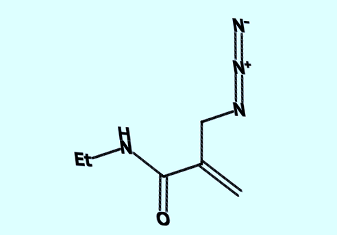 C=C(CN=[N+]=[N-])C(=O)NCC